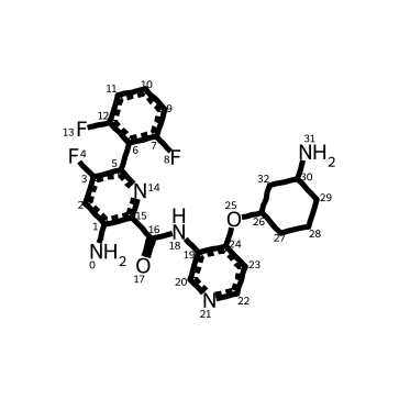 Nc1cc(F)c(-c2c(F)cccc2F)nc1C(=O)Nc1cnccc1OC1CCCC(N)C1